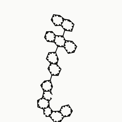 c1ccc2c(-c3c4ccccc4c(-c4ccc5cc(-c6ccc7c(c6)sc6c7ccc7sc8ccc9ccccc9c8c76)ccc5c4)c4ccccc34)cccc2c1